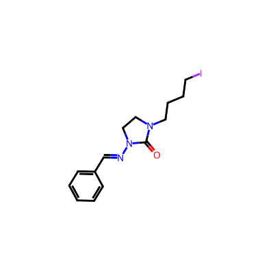 O=C1N(CCCCI)CCN1N=Cc1ccccc1